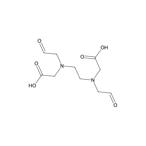 O=CCN(CCN(CC=O)CC(=O)O)CC(=O)O